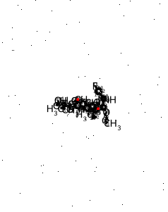 COCCO[C@@H]1C[C@@H](c2nc(-c3ccc(F)cc3)c[nH]2)N(C(=O)[C@]23CC[C@@H](C4(C)CC4)[C@@H]2[C@H]2CC[C@@H]4[C@@]5(C)CC[C@H](OC(=O)[C@H]6C[C@@H](C(=O)O)C6(C)C)C(C)(C)[C@@H]5CC[C@@]4(C)[C@]2(C)CC3)C1